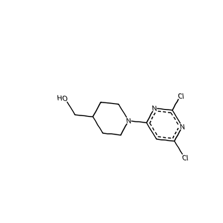 OCC1CCN(c2cc(Cl)nc(Cl)n2)CC1